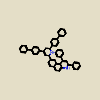 C1=C(c2ccc(-c3ccccc3)cc2)CC(c2ccc(-c3ccccc3)cc2)NC1c1ccc2ccc3c(c2c1)C(c1ccccc1)=CC(c1ccccc1)N3